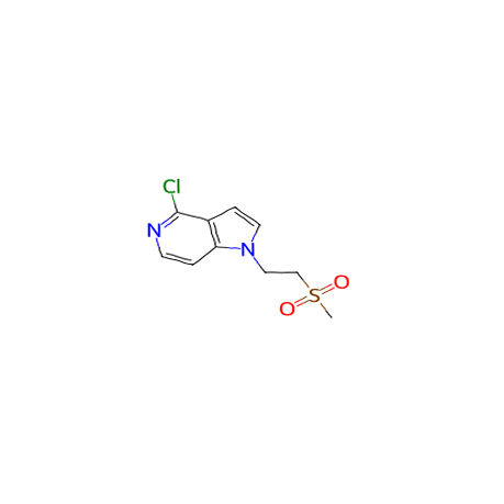 CS(=O)(=O)CCn1ccc2c(Cl)nccc21